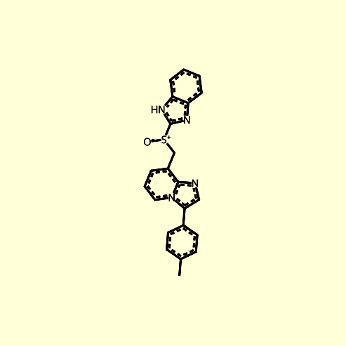 Cc1ccc(-c2cnc3c(C[S+]([O-])c4nc5ccccc5[nH]4)cccn23)cc1